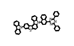 c1ccc(-c2nc(-c3ccccc3)nc(-c3ccc(-n4c5ccccc5c5c6c(ccc54)sc4cc(-n5c7ccccc7c7ccccc75)ccc46)c4ccccc34)n2)cc1